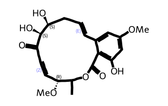 COc1cc(O)c2c(c1)/C=C/C[C@H](O)[C@H](O)C(=O)/C=C\[C@@H](OC)C(C)OC2=O